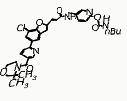 CCCCNC(=O)Oc1ccc(CNC(=O)C=CC2Cc3cc(-c4ccc(C(=O)N5CCOCC5(C)C)cn4)cc(Cl)c3O2)cn1